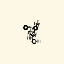 FC(F)(F)c1ccc(-c2nnc(N[C@@H]3CCCNC3)c3nccn23)c(OCc2ccccc2)c1